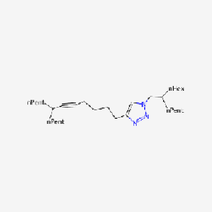 CCCCCCC(CCCCC)Cn1cc(CCCCC#CC(CCCCC)CCCCC)nn1